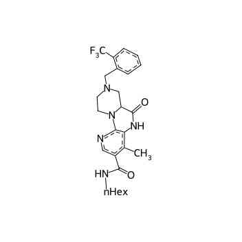 CCCCCCNC(=O)c1cnc2c(c1C)NC(=O)C1CN(Cc3ccccc3C(F)(F)F)CCN21